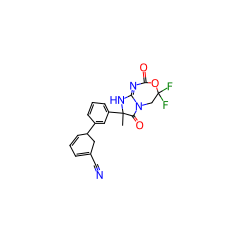 CC1(c2cccc(C3C=CC=C(C#N)C3)c2)NC2=NC(=O)OC(F)(F)CN2C1=O